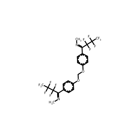 CN=C(c1ccc(OCOc2ccc(C(=NC)C(F)(F)C(F)(F)C(F)(F)F)cc2)cc1)C(F)(F)C(F)(F)C(F)(F)F